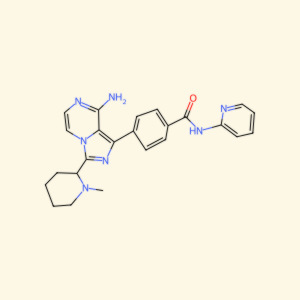 CN1CCCCC1c1nc(-c2ccc(C(=O)Nc3ccccn3)cc2)c2c(N)nccn12